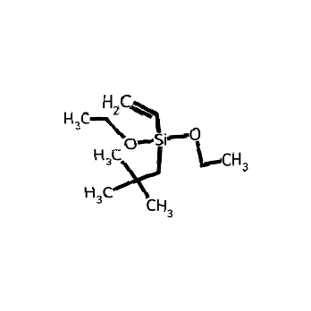 C=C[Si](CC(C)(C)C)(OCC)OCC